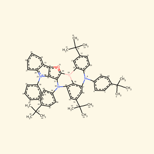 CC(C)(C)c1ccc(N2c3ccc(C(C)(C)C)cc3B3c4oc5c6ccccc6n(-c6ccccc6)c5c4N(c4ccc(C(C)(C)C)cc4)c4cc(C(C)(C)C)cc2c43)cc1